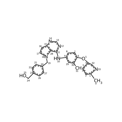 Cc1ccc(Oc2ccc(Nc3ncnc4ccn(Cc5ccc(CO)cc5)c34)cc2C)cn1